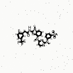 CN(c1cccc(S(C)(=O)=O)c1)c1nccc(N(C)c2cccc3c2nc(NC(=O)Cc2cc(C(F)(F)F)ccc2F)n3C)n1